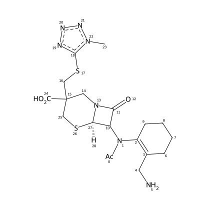 CC(=O)N(C1=C(CN)CCCC1)C1C(=O)N2CC(CSc3nnnn3C)(C(=O)O)CS[C@H]12